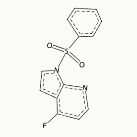 O=S(=O)(c1ccccc1)n1ccc2c(F)ccnc21